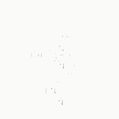 C=CCOC(=O)C[C@@H](NC(=O)OC(C)(C)C)c1nc(-c2c[nH]c3ncccc23)cs1